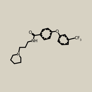 O=C(NCCCN1CCCCC1)c1ccc(Oc2cccc(C(F)(F)F)c2)cc1